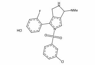 CNC1NCc2c1cn(S(=O)(=O)c1cccc(Cl)c1)c2-c1ccccc1F.Cl